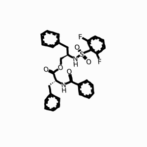 O=C(N[C@H](Cc1ccccc1)C(=O)OC[C@@H](Cc1ccccc1)NS(=O)(=O)c1c(F)cccc1F)c1ccccc1